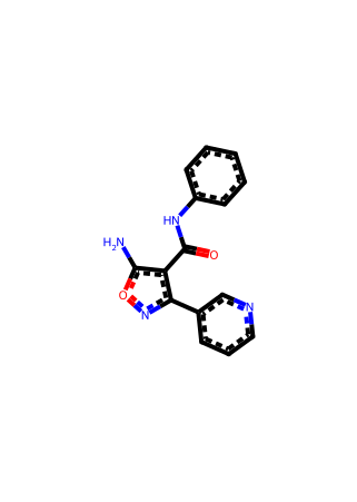 Nc1onc(-c2cccnc2)c1C(=O)Nc1ccccc1